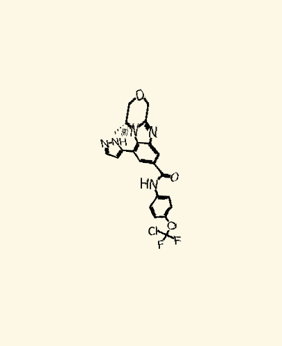 C[C@@H]1COCc2nc3cc(C(=O)Nc4ccc(OC(F)(F)Cl)cc4)cc(-c4ccn[nH]4)c3n21